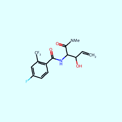 C=CC(O)C(NC(=O)c1ccc(F)cc1C(F)(F)F)C(=O)NC